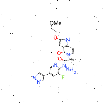 COCCOc1cnc2ccn([C@H](C)C(=O)N(N)c3ncc(-c4cnn(C)c4)cc3F)c(=O)c2c1